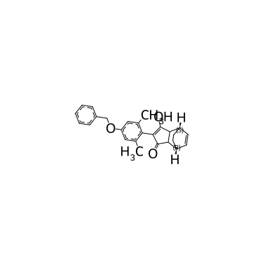 Cc1cc(OCc2ccccc2)cc(C)c1C1=C(O)C2C(C1=O)[C@H]1C=C[C@@H]2CC1